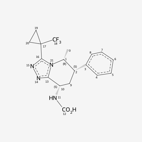 C[C@@H]1[C@H](c2ccccc2)C[C@H](NC(=O)O)c2nnc(C3(C(F)(F)F)CC3)n21